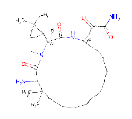 CC1(C)CCCCCCCCC[C@@H](C(=O)C(N)=O)NC(=O)[C@@H]2C3C(CN2C(=O)C1N)C3(C)C